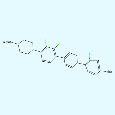 CCCCCC1CCC(c2ccc(-c3ccc(-c4ccc(CCCC)cc4F)cc3)c(Cl)c2F)CC1